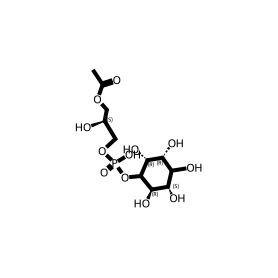 CC(=O)OC[C@H](O)COP(=O)(O)OC1[C@H](O)[C@H](O)C(O)[C@H](O)[C@H]1O